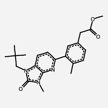 COC(=O)Cc1ccc(C)c(-c2ccc3c(n2)n(C)c(=O)n3CC(C)(C)C)c1